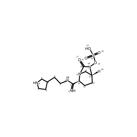 N=C(NCCC1CCNC1)[C@@H]1CC[C@@H]2CN1C(=O)N2OS(=O)(=O)O